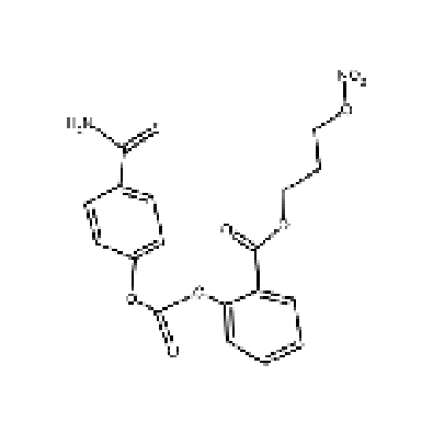 NC(=S)c1ccc(OC(=O)Oc2ccccc2C(=O)OCCCO[N+](=O)[O-])cc1